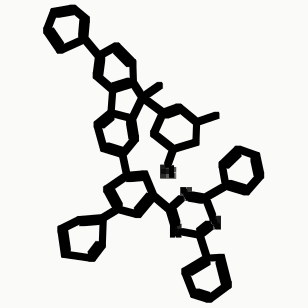 CCC1CC(C2(C)c3ccc(-c4ccccc4)cc3-c3ccc(-c4cc(-c5ccccc5)cc(-c5nc(-c6ccccc6)nc(-c6ccccc6)n5)c4)cc32)=CC(C)C1